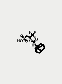 O=C(NC12CC3CC(CC(C3)C1)C2)OC(CS(=O)(=O)O)C(F)(F)F